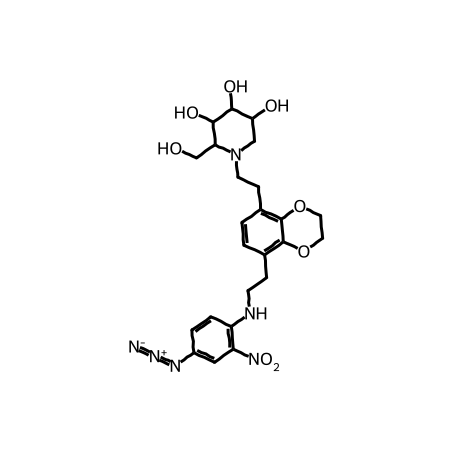 [N-]=[N+]=Nc1ccc(NCCc2ccc(CCN3CC(O)C(O)C(O)C3CO)c3c2OCCO3)c([N+](=O)[O-])c1